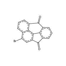 O=C1c2cccc3c2-c2c1cc(Br)c1cccc(c21)C3=O